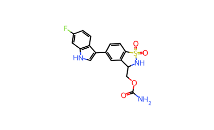 NC(=O)OCC1NS(=O)(=O)c2ccc(-c3c[nH]c4cc(F)ccc34)cc21